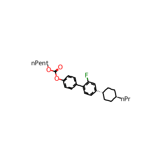 CCCCCOC(=O)Oc1ccc(-c2ccc([C@H]3CC[C@H](CCC)CC3)cc2F)cc1